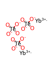 O=[Te](=O)([O-])[O-].O=[Te](=O)([O-])[O-].O=[Te](=O)([O-])[O-].[Yb+3].[Yb+3]